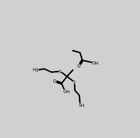 CC(SCCS)(SCCS)C(=O)O.CCC(=O)O